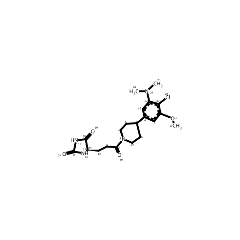 COc1cc(C2CCN(C(=O)CC[C@H]3NC(=O)NC3=O)CC2)cc(N(C)C)c1Cl